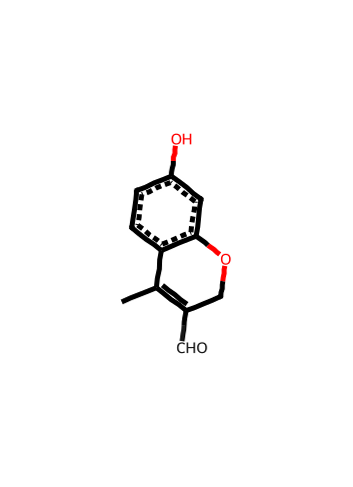 CC1=C(C=O)COc2cc(O)ccc21